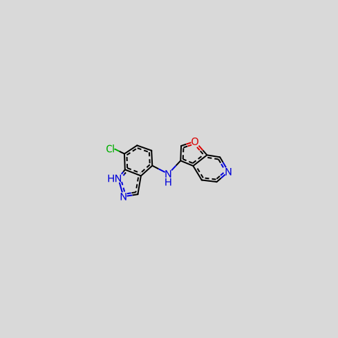 Clc1ccc(Nc2coc3cnccc23)c2cn[nH]c12